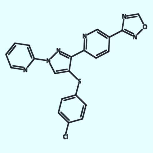 Clc1ccc(Sc2cn(-c3ccccn3)nc2-c2ccc(-c3ncon3)cn2)cc1